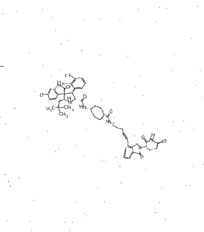 CC(C)(C)C[C@@H]1N[C@@H](C(=O)N[C@H]2CC[C@H](C(=O)NCCCC#Cc3cccc4c3CN(C3CCC(=O)NC3=O)C4=O)CC2)[C@H](c2cccc(Cl)c2F)[C@]12C(=O)Nc1cc(Cl)ccc12